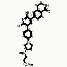 COCCN(C)[C@@H]1CCN(c2ccc(-c3cc(-c4ccc5c(c4)CCNC5=O)c(N)nc3F)cc2)C1